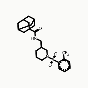 O=C(NCC1CCCN(S(=O)(=O)c2ccccc2C(F)(F)F)C1)C12CC3CC(CC(C3)C1)C2